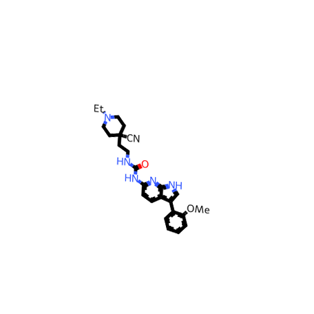 CCN1CCC(C#N)(CCNC(=O)Nc2ccc3c(-c4ccccc4OC)c[nH]c3n2)CC1